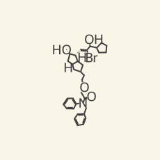 O=C(COCCC1C[C@H]2C[C@H](O)[C@H](C=C(Br)C(O)C3CCCC3)[C@@H]2C1)N(Cc1ccccc1)c1ccccc1